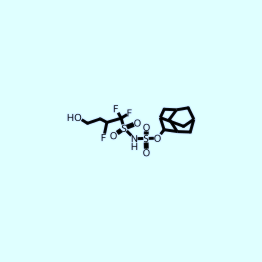 O=S(=O)(NS(=O)(=O)C(F)(F)C(F)CCO)OC1C2CC3CC(C2)CC1C3